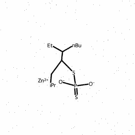 CCCCC(CC)C(CC(C)C)SP([O-])([O-])=S.[Zn+2]